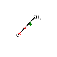 CCCCCCCCCC(CCCCCCOCCCCCCCCOCCC)C(F)(F)F